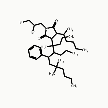 CCCCC(C)C1C(=O)N(CC(Br)CBr)C(=O)C1C(C)(CCC)C(CCC)C(CC(C)(C)CCCC)c1ccccc1